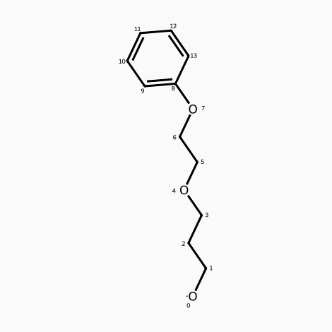 [O]CCCOCCOc1ccccc1